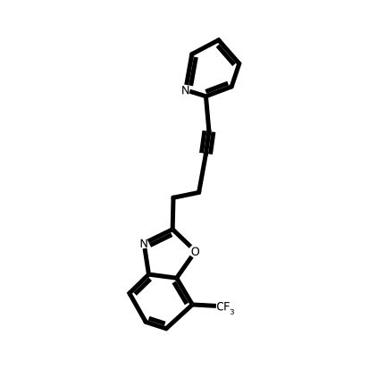 FC(F)(F)c1cccc2nc(CCC#Cc3ccccn3)oc12